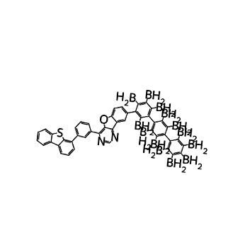 Bc1c(B)c(B)c(-c2c(B)c(B)c(-c3c(B)c(B)c(B)c(-c4ccc5oc6c(-c7cccc(-c8cccc9c8sc8ccccc89)c7)ncnc6c5c4)c3B)c(B)c2B)c(B)c1B